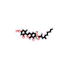 CCCCCCC(C)/C=C(\C)C(=O)O[C@@]1(C)C(=O)C=C2C=C(C3=C(C)C[C@@H](O)CC3=O)OC=C2C1=O